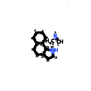 C.C#N.c1ccc2c(c1)ccc1cc[nH]c12